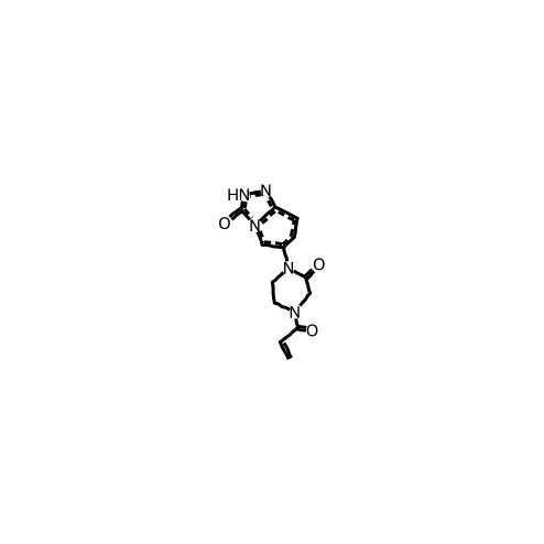 C=CC(=O)N1CCN(c2ccc3n[nH]c(=O)n3c2)C(=O)C1